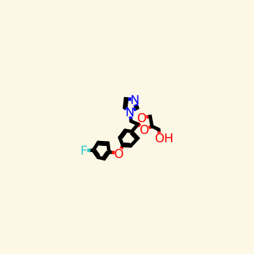 OCC1COC(Cn2ccnc2)(c2ccc(Oc3ccc(F)cc3)cc2)O1